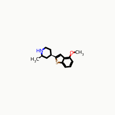 COc1cccc2sc([C@@H]3CCN[C@H](C)C3)cc12